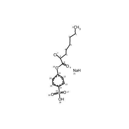 CCCCCCC(Cl)C(=O)Oc1ccc(S(=O)(=O)O)cc1.[NaH]